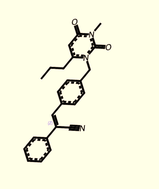 CCCc1cc(=O)n(C)c(=O)n1Cc1ccc(/C=C(\C#N)c2ccccc2)cc1